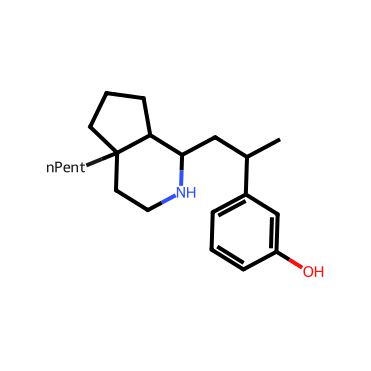 CCCCCC12CCCC1C(CC(C)c1cccc(O)c1)NCC2